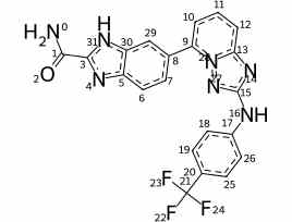 NC(=O)c1nc2ccc(-c3cccc4nc(Nc5ccc(C(F)(F)F)cc5)nn34)cc2[nH]1